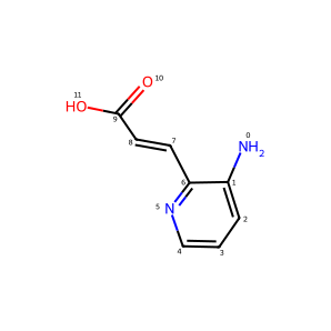 Nc1cccnc1C=CC(=O)O